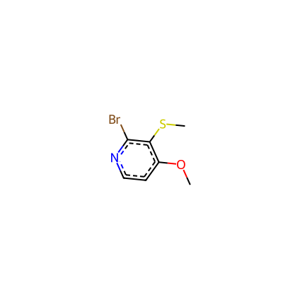 COc1ccnc(Br)c1SC